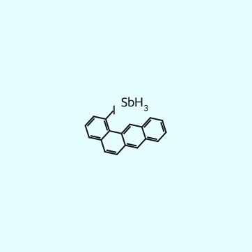 Ic1cccc2ccc3cc4ccccc4cc3c12.[SbH3]